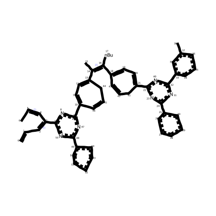 C=C/C=C(\C=C/C)c1nc(C2=CC=C(/C(C)=C(/CCCC)C3=CC=C(c4nc(-c5ccccc5)nc(-c5cccc(C)c5)n4)CC=C3)CC=C2)nc(-c2ccccc2)n1